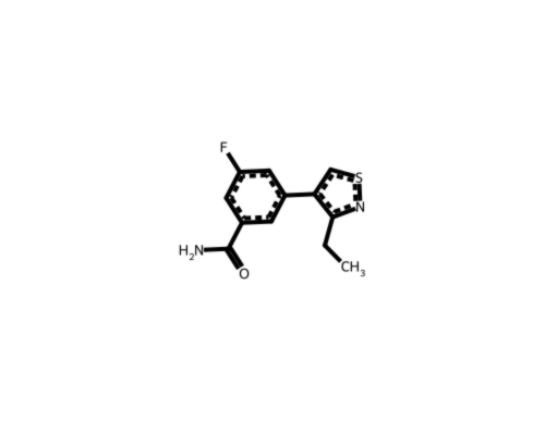 CCc1nscc1-c1cc(F)cc(C(N)=O)c1